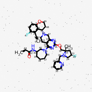 C#Cc1c(F)ccc2c1[C@@H](N1CCc3c(nc(OC[C@]4(C)C[C@@H](F)CN4Cc4ccccn4)nc3N3CCCCC(NC(=O)C=C)C3)C1)CCO2